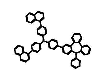 c1ccc(N2c3ccccc3-c3ccccc3-c3cc(-c4ccc(N(c5ccc(-c6cccc7ccccc67)cc5)c5ccc(-c6cccc7ccccc67)cc5)cc4)ccc32)cc1